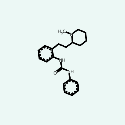 CN1CCCCC1CCc1ccccc1NC(=O)Nc1ccccc1